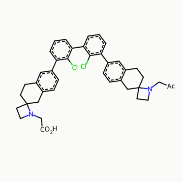 CC(=O)CN1CCC12CCc1cc(-c3cccc(-c4cccc(-c5ccc6c(c5)CCC5(CCN5CC(=O)O)C6)c4Cl)c3Cl)ccc1C2